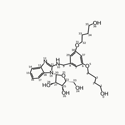 OCCCCOc1cc(CNc2nc3ccccc3n2[C@@H]2O[C@H](CO)[C@@H](O)[C@H]2O)cc(OCCCCO)c1